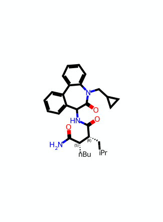 CCCC[C@H](C(N)=O)[C@@H](CC(C)C)C(=O)NC1C(=O)N(CC2CC2)c2ccccc2-c2ccccc21